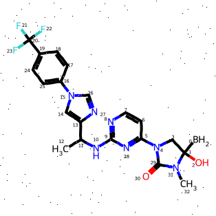 BC1(O)CN(c2ccnc(NC(C)c3cn(-c4ccc(C(F)(F)F)cc4)cn3)n2)C(=O)N1C